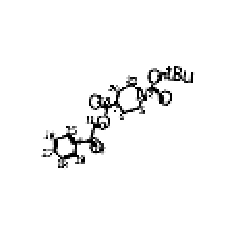 CC(C)(C)OC(=O)N1CCC(C(=O)OCC(=O)c2ccccc2)CC1